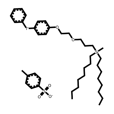 CCCCCCCC[Si](C)(CCCCCCCC)CCCOCCOc1ccc([I+]c2ccccc2)cc1.Cc1ccc(S(=O)(=O)[O-])cc1